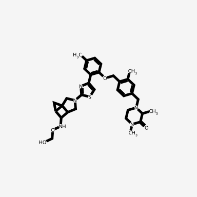 Cc1ccc(OCc2ccc(CN3CCN(C)C(=O)C3C)cc2C)c(-c2csc(N3CC4C(NOCO)C5CC45C3)n2)c1